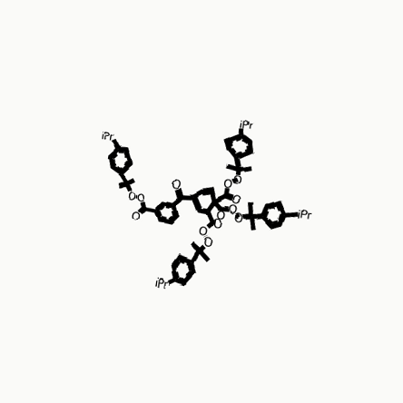 CC(C)c1ccc(C(C)(C)OOC(=O)c2cccc(C(=O)C3=CC(C(=O)OOC(C)(C)c4ccc(C(C)C)cc4)C(C(=O)OOC(C)(C)c4ccc(C(C)C)cc4)(C(=O)OOC(C)(C)c4ccc(C(C)C)cc4)C=C3)c2)cc1